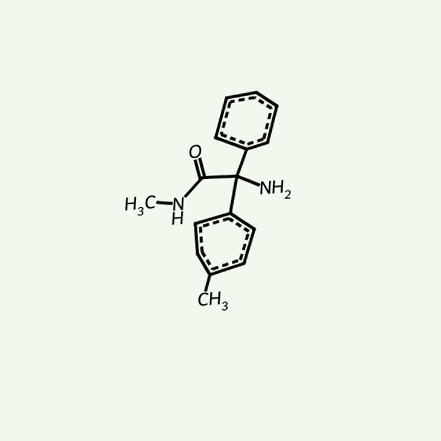 CNC(=O)C(N)(c1ccccc1)c1ccc(C)cc1